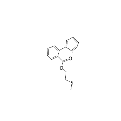 CSCCOC(=O)c1ccccc1-c1[c]cccc1